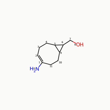 N/C1=C/CCC2C(CO)C2CC1